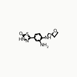 Nc1cc(-c2n[nH]c(=O)s2)ccc1NC[C@@H]1CCO1